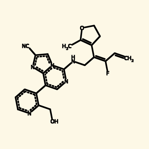 C=C/C(F)=C(/CNc1ncc(-c2cccnc2CO)c2nc(C#N)cn12)C1=C(C)OCC1